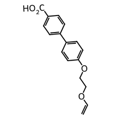 C=COCCOc1ccc(-c2ccc(C(=O)O)cc2)cc1